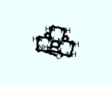 c1cc2[nH]c1Cc1ccc([nH]1)-c1ccc3c4nc5c(nc14)c1nc4c-2ccc2c4nc1c1nc4c(ccc(c4nc51)-c1ccc([nH]1)Cc1ccc-3[nH]1)-c1ccc([nH]1)Cc1ccc-2[nH]1